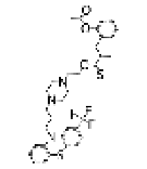 CC(=O)Oc1ccccc1CC(C)C(=S)OCCN1CCN(CCCN2c3ccccc3Sc3ccc(C(F)(F)F)cc32)CC1